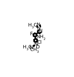 CC1=NCCN(c2cc(-c3cc(F)cc(-c4ccc(N(C#CN(C)C)C=O)c(Cl)c4)c3N)ccn2)C1